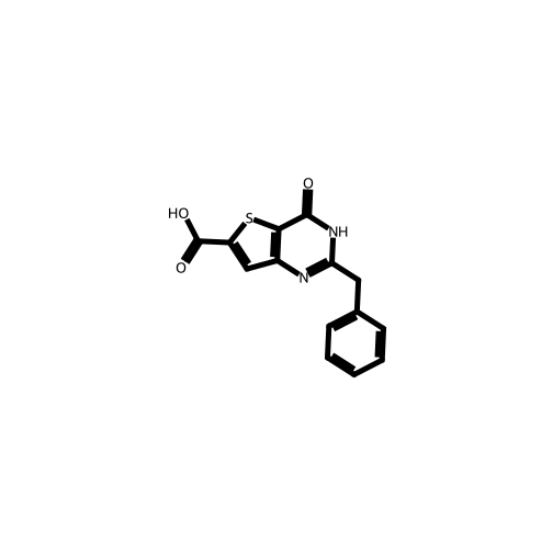 O=C(O)c1cc2nc(Cc3ccccc3)[nH]c(=O)c2s1